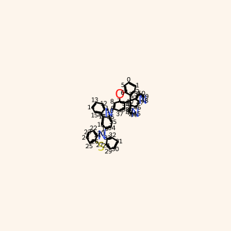 c1ccc2c(c1)Oc1cc(-n3c4ccccc4c4cc(N5c6ccccc6Sc6ccccc65)ccc43)ccc1C21c2cccnc2-c2ncccc21